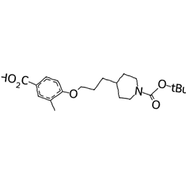 Cc1cc(C(=O)O)ccc1OCCCC1CCN(C(=O)OC(C)(C)C)CC1